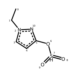 CCn1c[c]c(O[SH](=O)=O)n1